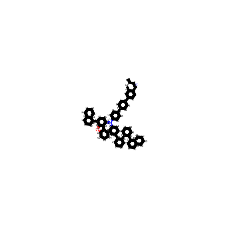 C=C/C=C\c1ccc(-c2ccc(-c3ccc(N(c4ccc(-c5ccccc5-c5ccccc5-c5cccc6ccccc56)cc4)c4ccc(-c5cccc6ccccc56)c5oc6ccccc6c45)cc3)cc2)cc1C